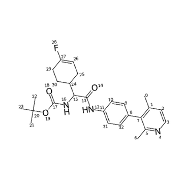 Cc1ccnc(C)c1-c1ccc(NC(=O)C(NC(=O)OC(C)(C)C)C2CC=C(F)CC2)cc1